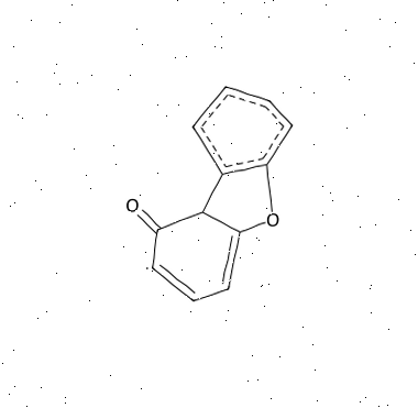 O=C1[C]=CC=C2Oc3ccccc3C12